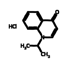 CC(C)n1ccc(=O)c2ccccc21.Cl